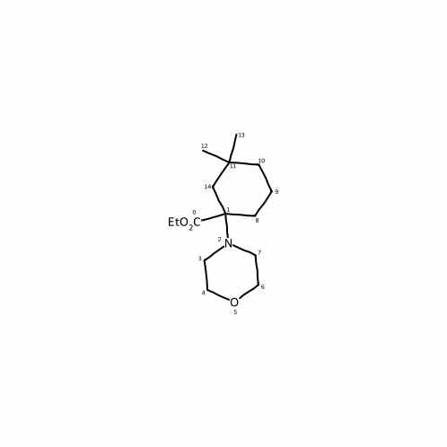 CCOC(=O)C1(N2CCOCC2)CCCC(C)(C)C1